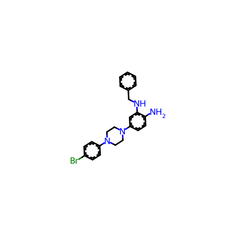 Nc1ccc(N2CCN(c3ccc(Br)cc3)CC2)cc1NCc1ccccc1